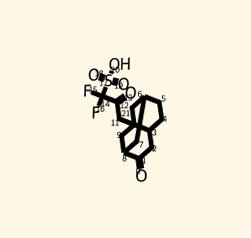 O=C1CC2CCC3CC1CC2(CC(=O)C(F)(F)S(=O)(=O)O)C3